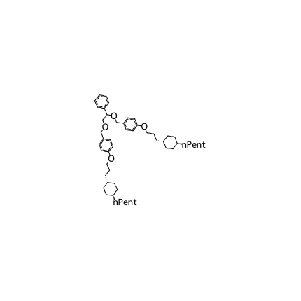 CCCCC[C@H]1CC[C@H](CCCOc2ccc(COC[C@H](OCc3ccc(OCCC[C@H]4CC[C@H](CCCCC)CC4)cc3)c3ccccc3)cc2)CC1